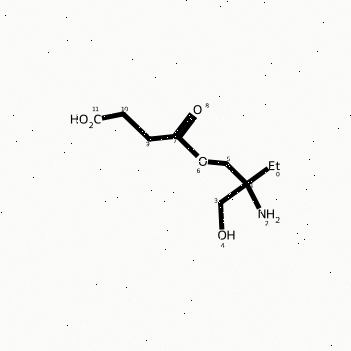 CCC(N)(CO)COC(=O)CCC(=O)O